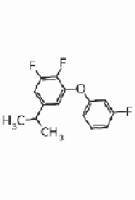 CC(C)c1cc(F)c(F)c(Oc2cccc(F)c2)c1